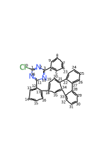 Clc1nc(-c2ccccc2)nc(-c2ccccc2-c2ccc3c4ccccc4c4ccccc4c3c2)n1